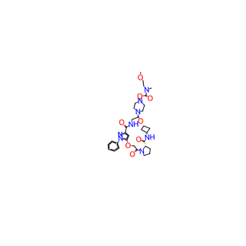 COCCN(C)C(=O)ON1CCN(C(=O)CNC(=O)c2cc(OCC(=O)N3CCC[C@H]3C(=O)NC3CCC3)n(-c3ccccc3)n2)CC1